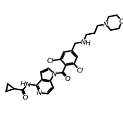 O=C(Nc1nccc2c1ccn2C(=O)c1c(Cl)cc(CNCCCN2CCOCC2)cc1Cl)C1CC1